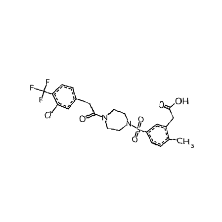 Cc1ccc(S(=O)(=O)N2CCN(C(=O)Cc3ccc(C(F)(F)F)c(Cl)c3)CC2)cc1CC(=O)O